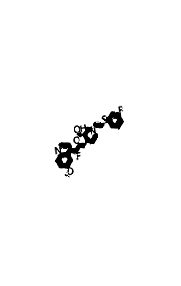 COc1ccc2nccc([C@@H](F)CC[C@@H]3CCN(CCSc4cccc(F)c4)C[C@@H]3C(=O)O)c2c1